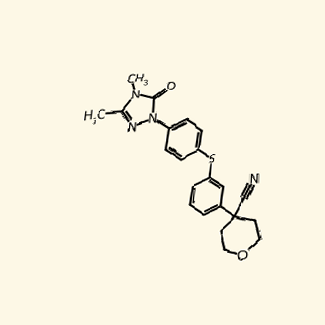 Cc1nn(-c2ccc(Sc3cccc(C4(C#N)CCOCC4)c3)cc2)c(=O)n1C